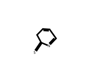 S=C1CC=CC=N1